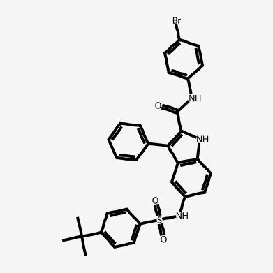 CC(C)(C)c1ccc(S(=O)(=O)Nc2ccc3[nH]c(C(=O)Nc4ccc(Br)cc4)c(-c4ccccc4)c3c2)cc1